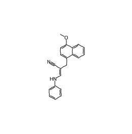 COc1ccc(CC(C#N)=CNc2ccccc2)c2ccccc12